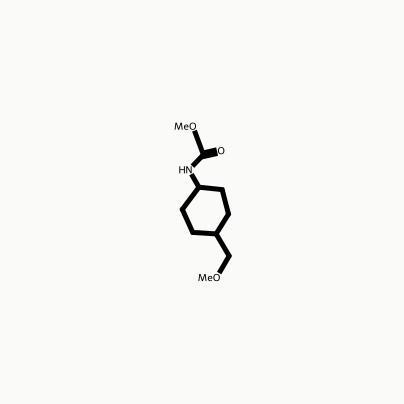 COC[C]1CCC(NC(=O)OC)CC1